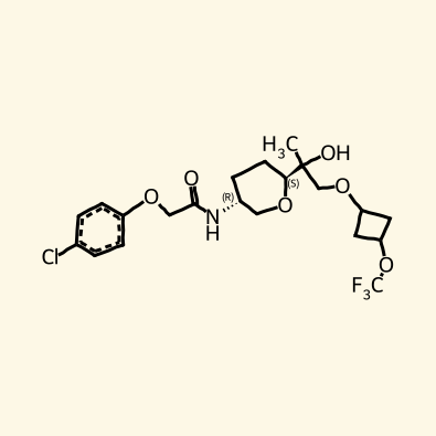 CC(O)(COC1CC(OC(F)(F)F)C1)[C@@H]1CC[C@@H](NC(=O)COc2ccc(Cl)cc2)CO1